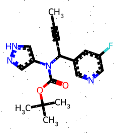 CC#CC(c1cncc(F)c1)N(C(=O)OC(C)(C)C)c1cn[nH]c1